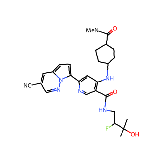 CNC(=O)C1CCC(Nc2cc(-c3ccc4cc(C#N)cnn34)ncc2C(=O)NCC(F)C(C)(C)O)CC1